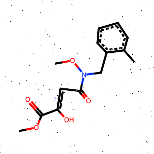 COC(=O)/C(O)=C/C(=O)N(Cc1ccccc1C)OC